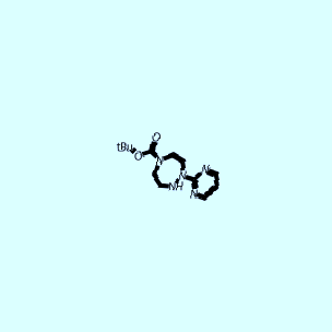 CC(C)(C)OC(=O)N1CCNN(c2ncccn2)CC1